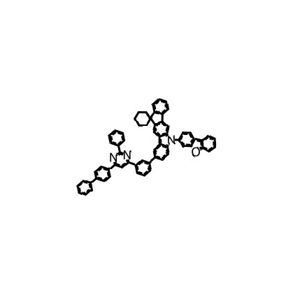 c1ccc(-c2ccc(-c3cc(-c4cccc(-c5ccc6c(c5)c5cc7c(cc5n6-c5ccc6c(c5)oc5ccccc56)-c5ccccc5C75CCCCC5)c4)nc(-c4ccccc4)n3)cc2)cc1